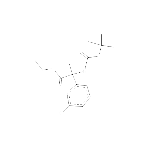 CCOC(=O)C(C)(NC(=O)OC(C)(C)C)c1cccc(Cl)n1